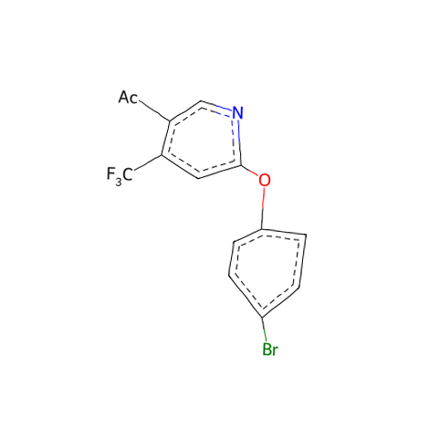 CC(=O)c1cnc(Oc2ccc(Br)cc2)cc1C(F)(F)F